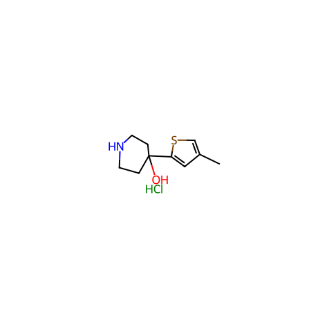 Cc1csc(C2(O)CCNCC2)c1.Cl